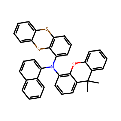 CC1(C)c2ccccc2Oc2c(N(c3cccc4c3Sc3ccccc3S4)c3cccc4ccccc34)cccc21